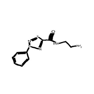 NCCNC(=O)c1nnn(-c2ccccc2)n1